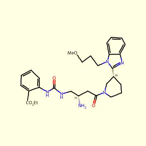 CCOC(=O)c1ccccc1NC(=O)NC[C@@H](N)CC(=O)N1CCC[C@@H](c2nc3ccccc3n2CCCOC)C1